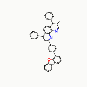 CC1C=Nc2c(ccc3c(-c4ccccc4)cc(-c4ccc(-c5cccc6c5oc5ccccc56)cc4)nc23)C1c1ccccc1